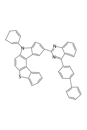 C1=CC(n2c3ccc(-c4nc(-c5ccc(-c6ccccc6)cc5)c5ccccc5n4)cc3c3c4c(ccc32)sc2ccccc24)=CCC1